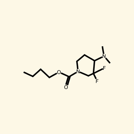 CCCCOC(=O)N1CCC(N(C)C)C(F)(F)C1